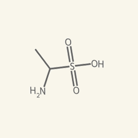 CC(N)S(=O)(=O)O